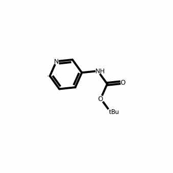 CC(C)(C)OC(=O)Nc1cc[c]nc1